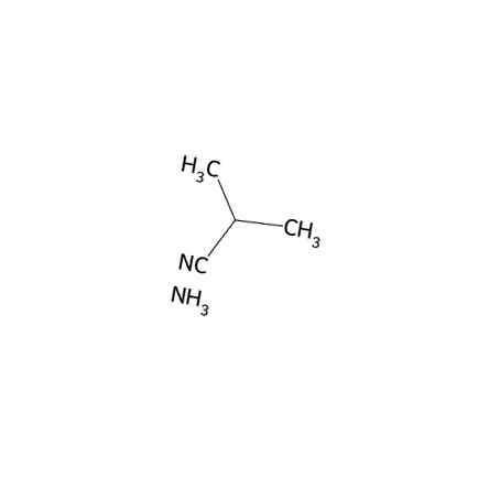 CC(C)C#N.N